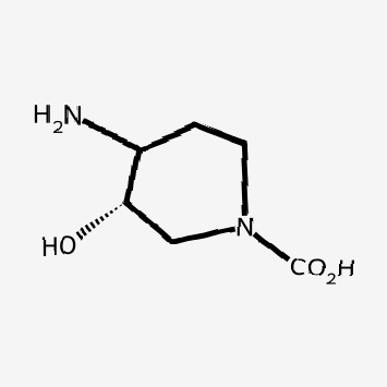 NC1CCN(C(=O)O)C[C@@H]1O